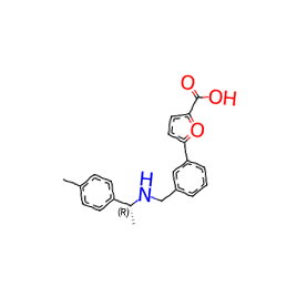 Cc1ccc([C@@H](C)NCc2cccc(-c3ccc(C(=O)O)o3)c2)cc1